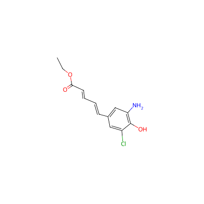 CCOC(=O)C=CC=Cc1cc(N)c(O)c(Cl)c1